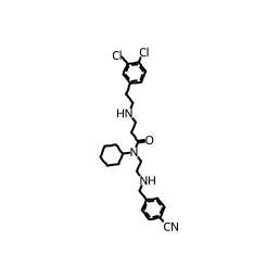 N#Cc1ccc(CNCCN(C(=O)CCNCCc2ccc(Cl)c(Cl)c2)C2CCCCC2)cc1